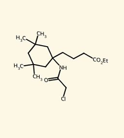 CCOC(=O)CCCC1(NC(=O)CCl)CC(C)(C)CC(C)(C)C1